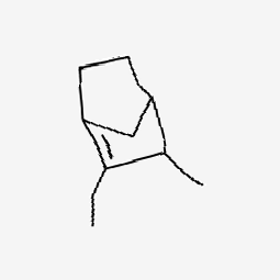 CC1=C2CCC(C2)C1C